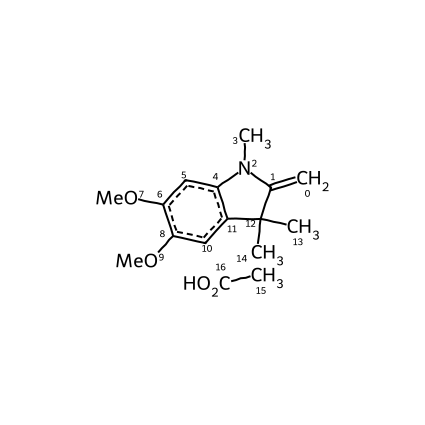 C=C1N(C)c2cc(OC)c(OC)cc2C1(C)C.CC(=O)O